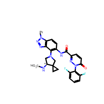 CC(C)n1nnc2c(N3C[C@H](NC(=O)O)C4(CC4)C3)c(NC(=O)c3ccc(=O)n(-c4c(F)cccc4F)n3)ccc21